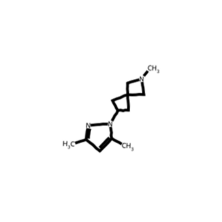 Cc1cc(C)n(C2CC3(C2)CN(C)C3)n1